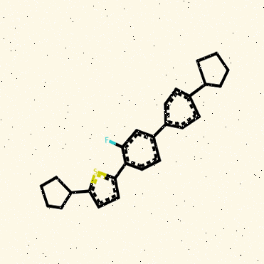 Fc1cc(-c2ccc(C3CCCC3)cc2)ccc1-c1ccc(C2CCCC2)s1